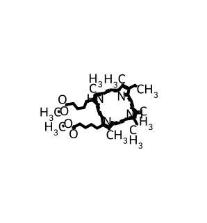 CCC1=C(C)c2cc3[nH]c(cc4nc(cc5[nH]c(cc1n2)c(C)c5CC)C(C)=C4CCCCC(=O)OC)c(CCCCC(=O)OC)c3C